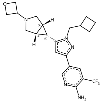 Nc1ncc(-c2cc([C@@H]3[C@@H]4CN(C5COC5)C[C@@H]43)n(CC3CCC3)n2)cc1C(F)(F)F